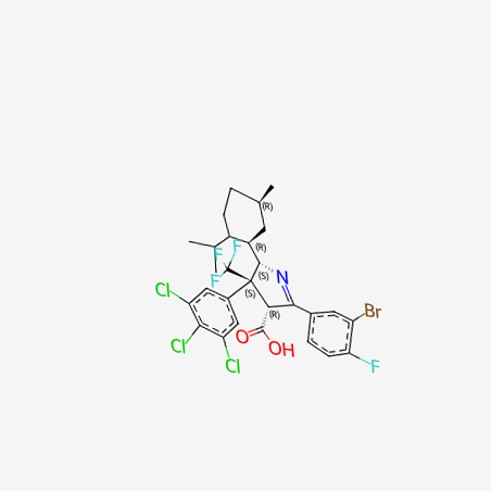 CC(C)C1CC[C@@H](C)C[C@H]1[C@@H]1N=C(c2ccc(F)c(Br)c2)[C@H](C(=O)O)[C@@]1(c1cc(Cl)c(Cl)c(Cl)c1)C(F)(F)F